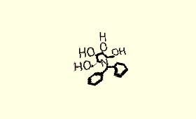 OCC1[C@@H](O)[C@H](O)[C@@H](CO)N1C(c1ccccc1)c1ccccc1